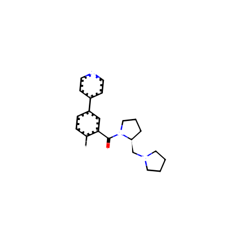 O=C(c1cc(-c2ccncc2)ccc1C(F)(F)F)N1CCC[C@H]1CN1CCCC1